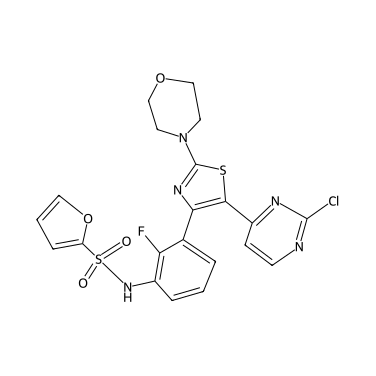 O=S(=O)(Nc1cccc(-c2nc(N3CCOCC3)sc2-c2ccnc(Cl)n2)c1F)c1ccco1